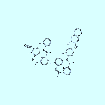 CC(=Nc1ccccc1C)c1cccc(C(C)=Nc2ccccc2C)n1.CC(=Nc1ccccc1C)c1cccc(C(C)=Nc2ccccc2C)n1.[Co+].[Co+].[O-]c1cc2ccccc2cc1[O-]